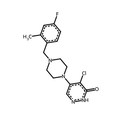 Cc1cc(F)ccc1CN1CCN(c2cn[nH]c(=O)c2Cl)CC1